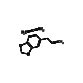 C=C=C.C=CCc1ccc2c(c1)OCO2